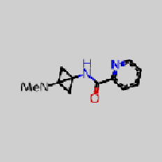 CNC12CC1(NC(=O)c1ccccn1)C2